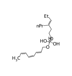 C\C=C/C=C\C=C\CO[PH](O)(O)OCC/C(=C/CC)CCC